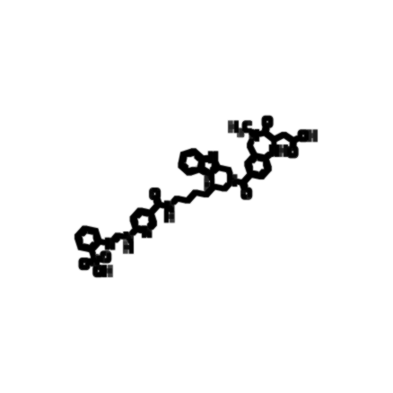 CN1Cc2cc(C(=O)N(CCCCCCNC(=O)c3ccc(NC=Nc4ccccc4S(=O)(=O)O)nc3)Cc3nc4ccccc4[nH]3)ccc2NC(CC(=O)O)C1=O